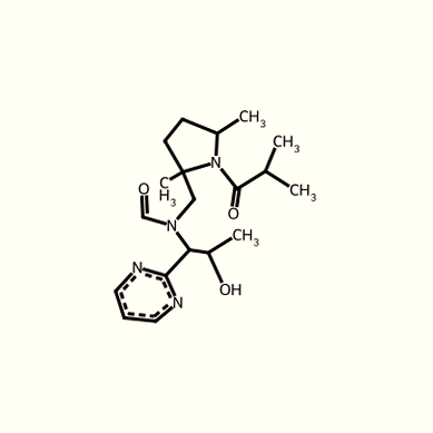 CC(C)C(=O)N1C(C)CCC1(C)CN(C=O)C(c1ncccn1)C(C)O